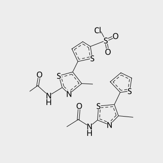 CC(=O)Nc1nc(C)c(-c2ccc(S(=O)(=O)Cl)s2)s1.CC(=O)Nc1nc(C)c(-c2cccs2)s1